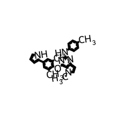 Cc1ccc(Nc2nc(Oc3c(C)cc(-c4ccc[nH]4)cc3C)c3c(ccn3C)n2)cc1